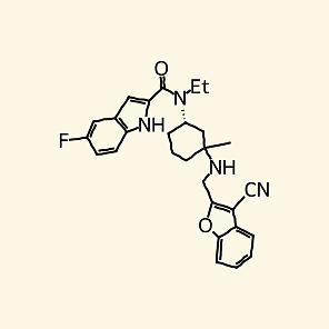 CCN(C(=O)c1cc2cc(F)ccc2[nH]1)[C@H]1CCCC(C)(NCc2oc3ccccc3c2C#N)C1